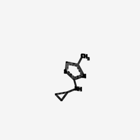 Cc1csc(NC2CC2)n1